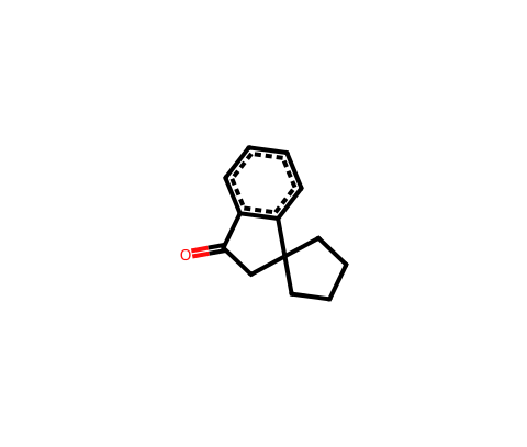 O=C1CC2(CCCC2)c2ccccc21